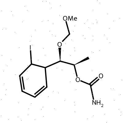 COCO[C@H](C1C=CC=CC1I)[C@@H](C)OC(N)=O